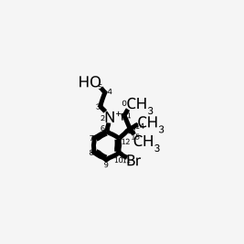 CC1=[N+](CCO)c2cccc(Br)c2C1(C)C